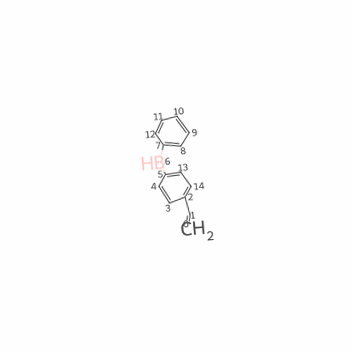 C=Cc1ccc(Bc2ccccc2)cc1